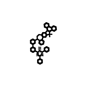 CC1(C)c2cc3c(cc2-c2c1c1ccccc1c1ccccc21)CCC(c1cccc(-c2cccc(C4=NC(c5ccccc5)=NC(c5ccccc5)N4)c2)c1)c1ccccc1-3